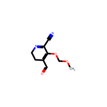 COCOC1=C(C=O)CCN=C1C#N